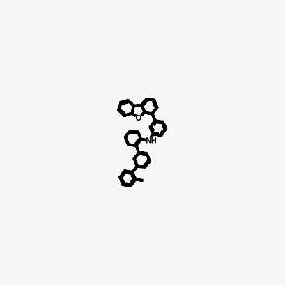 Cc1ccccc1C1C=CC=C(C2=C(Nc3cccc(C4C=CC=C5C6C=CC=CC6OC54)c3)C=CCC2)C1